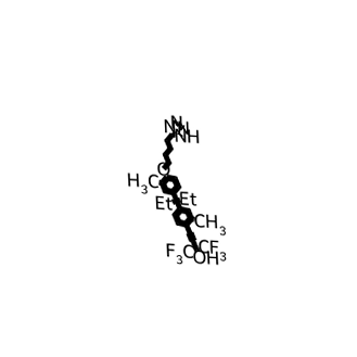 CCC(CC)(c1ccc(C#CC(O)(C(F)(F)F)C(F)(F)F)c(C)c1)c1ccc(OCCCCc2nnn[nH]2)c(C)c1